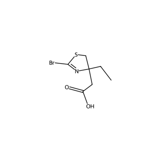 CCC1(CC(=O)O)CSC(Br)=N1